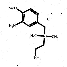 COc1ccc(C[N+](C)(C)CCN)cc1N.[Cl-]